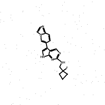 FC1(CNc2ncc3c(-c4ccc5nccn5c4)c[nH]c3n2)CCC1